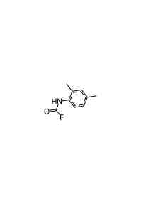 Cc1ccc(NC(=O)F)c(C)c1